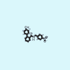 Cc1ccc(-c2ccccc2C(=O)NCc2ccc([N+](=O)[O-])cc2)cc1